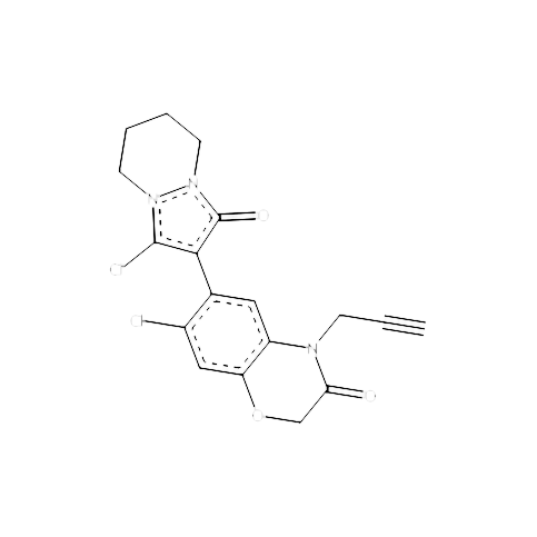 C#CCN1C(=O)COc2cc(Cl)c(-c3c(Cl)n4n(c3=O)CCCC4)cc21